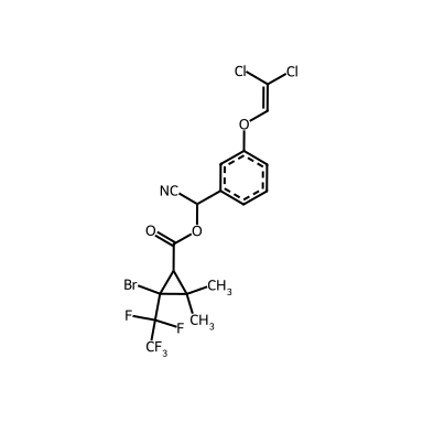 CC1(C)C(C(=O)OC(C#N)c2cccc(OC=C(Cl)Cl)c2)C1(Br)C(F)(F)C(F)(F)F